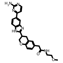 COCCNC(=O)Cc1ccc2c(c1)CC(c1nc3cc(-c4ccnc(N)n4)ccc3[nH]1)CO2